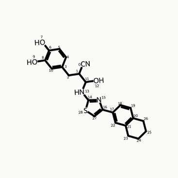 N#CC(Cc1ccc(O)c(O)c1)C(O)Nc1nc(-c2ccc3c(c2)CCCC3)cs1